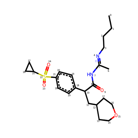 CCCC/N=C(\C)NC(=O)C(CC1CCOCC1)c1ccc(S(=O)(=O)C2CC2)cc1